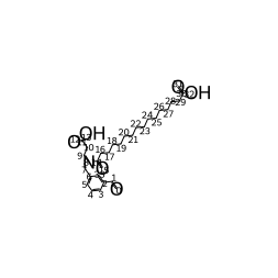 O=[C]c1cccc(CN(CCC(=O)O)C(=O)CCCCCCCCCCCCCCC(=O)O)c1